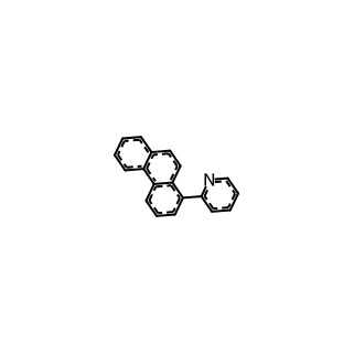 c1ccc(-c2cccc3c2ccc2ccccc23)nc1